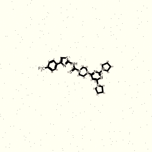 FC(F)(F)c1ccc(-c2csc(NC(=S)N3CCN(c4cc(N5CCCC5)nc(N5CCCC5)n4)CC3)n2)cc1